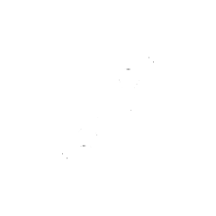 C[C@@H](COc1ccc(C#N)cc1)Oc1ccc(C#N)cc1